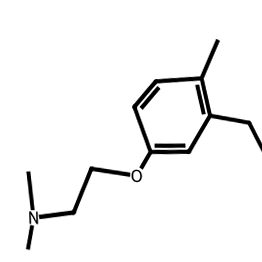 CCc1cc(OCCN(C)C)ccc1C